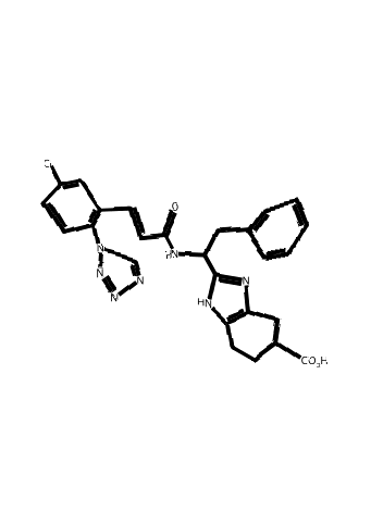 O=C(C=Cc1cc(Cl)ccc1-n1cnnn1)NC(Cc1ccccc1)c1nc2c([nH]1)CCC(C(=O)O)C2